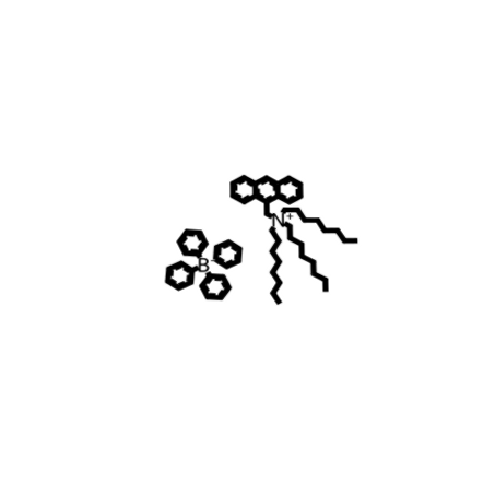 CCCCCCCC[N+](CCCCCCCC)(CCCCCCCC)Cc1c2ccccc2cc2ccccc12.c1ccc([B-](c2ccccc2)(c2ccccc2)c2ccccc2)cc1